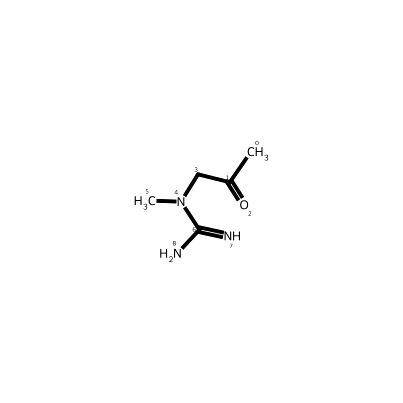 CC(=O)CN(C)C(=N)N